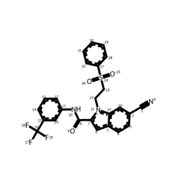 N#Cc1ccc2cc(C(=O)Nc3cccc(C(F)(F)F)c3)n(CCS(=O)(=O)c3ccccc3)c2c1